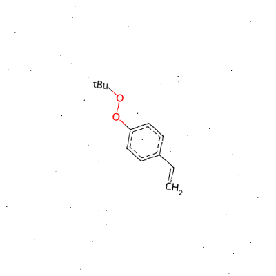 C=Cc1ccc(OOC(C)(C)C)cc1